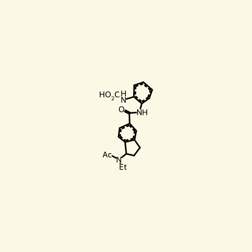 CCN(C(C)=O)C1CCc2cc(C(=O)Nc3ccccc3NC(=O)O)ccc21